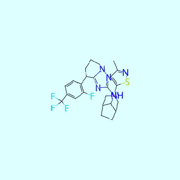 Cc1cc(N2CC3CCC(C2)C3Nc2nc3n(n2)CCCC3c2ccc(C(F)(F)F)cc2F)sn1